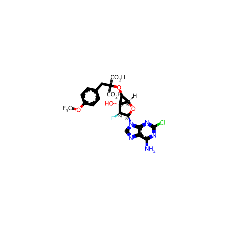 Nc1nc(Cl)nc2c1ncn2[C@@H]1O[C@@H]2C(OC(Cc3ccc(OC(F)(F)F)cc3)(C(=O)O)C(=O)O)[C@]2(O)[C@@H]1F